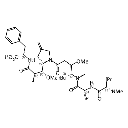 C=C1C[C@@H]([C@H](OC)[C@@H](C)C(=O)N[C@@H](Cc2ccccc2)C(=O)O)N(C(=O)CC(OC)[C@H]([C@@H](C)CC)N(C)C(=O)[C@@H](NC(=O)[C@@H](NC)C(C)C)C(C)C)C1